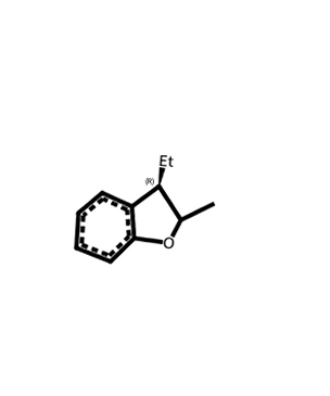 CC[C@@H]1c2ccccc2OC1C